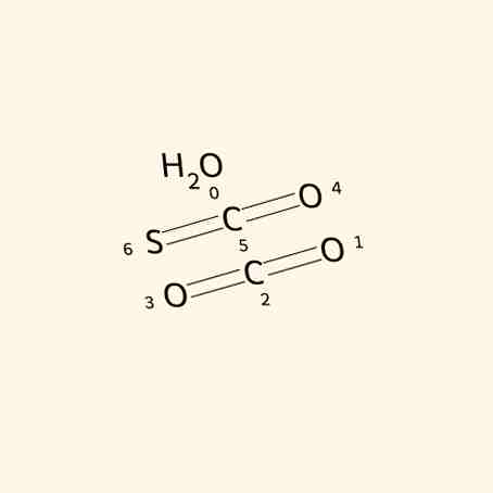 O.O=C=O.O=C=S